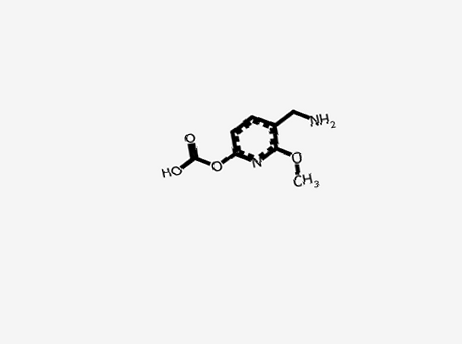 COc1nc(OC(=O)O)ccc1CN